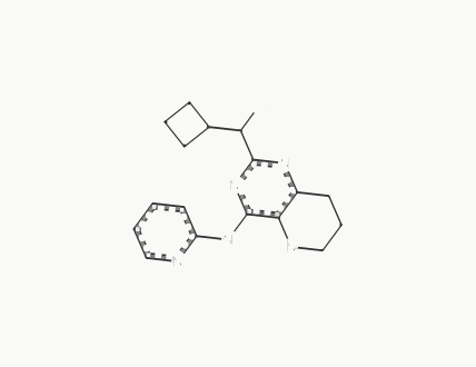 CCCCC(c1nc2c(c(Nc3ccccn3)n1)NCCC2)C1CCC1